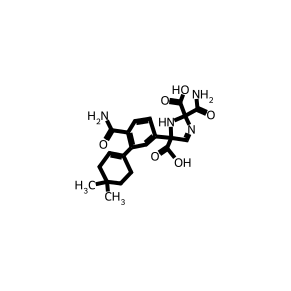 CC1(C)CC=C(c2cc(C3(C(=O)O)C=NC(C(N)=O)(C(=O)O)N3)ccc2C(N)=O)CC1